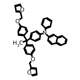 CC(c1ccc(OCc2ccco2)cc1)(c1ccc(OCc2ccco2)cc1)c1ccc(N(c2ccccc2)c2ccc3ccccc3c2)cc1